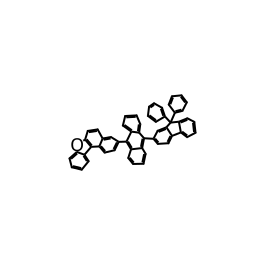 c1ccc(C2(c3ccccc3)c3ccccc3-c3ccc(-c4c5ccccc5c(-c5ccc6c(ccc7oc8ccccc8c76)c5)c5ccccc45)cc32)cc1